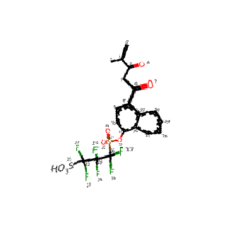 C=C(C)C(=O)CC(=O)c1ccc(OS(=O)(=O)C(F)(F)C(F)(F)C(F)(F)S(=O)(=O)O)c2ccccc12